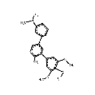 COc1cc(-c2cc(-c3cccc(N(C)C)c3)cnc2N)cc(OC)c1OC